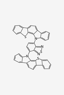 c1ccc2c(c1)sc1c2ccc2c3ccccc3n(-c3ccc(-n4c5ccccc5c5ccc6c7ccccc7sc6c54)c4nsnc34)c21